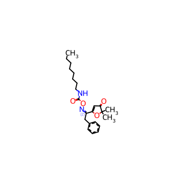 CCCCCCCCNC(=O)O/N=C(/Cc1ccccc1)C1=CC(=O)C(C)(C)O1